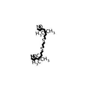 CC(c1ccno1)C(C)(C)CCCSCCCSCCCC(C)(C)Cc1ccno1